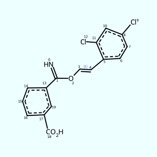 N=C(O/C=C/c1ccc(Cl)cc1Cl)c1cccc(C(=O)O)c1